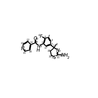 CC1(c2ccc(F)c(NC(=O)c3ccncc3)c2)CCSC(N)=N1